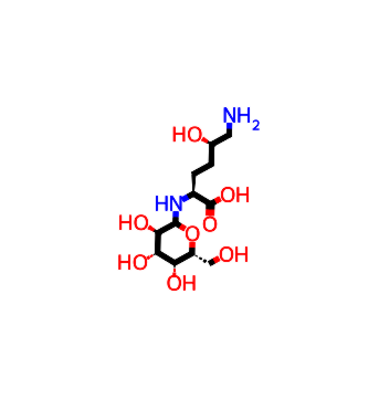 NC[C@H](O)CC[C@H](NC1O[C@H](CO)[C@H](O)[C@H](O)[C@H]1O)C(=O)O